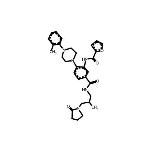 Cc1ccccc1N1CCN(c2ccc(C(=O)NCC(C)CN3CCCC3=O)cc2NC(=O)c2ccco2)CC1